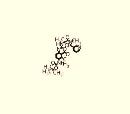 Cc1c(NC(=O)OC(C)(C)C)ccc2nc(NC(C)(C)C(=O)N(C)Cc3cccnc3)oc(=O)c12